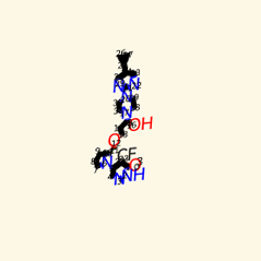 O=c1[nH]ncc(N2CCC[C@@H]2COCC[C@@H](O)N2CCN(c3ncc(C4CC4)cn3)CC2)c1C(F)(F)F